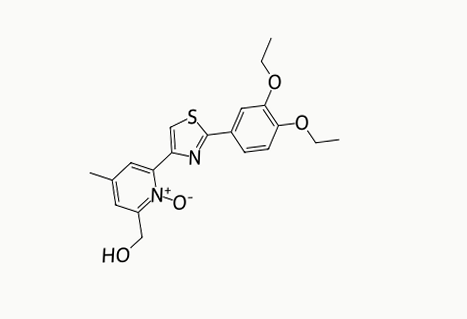 CCOc1ccc(-c2nc(-c3cc(C)cc(CO)[n+]3[O-])cs2)cc1OCC